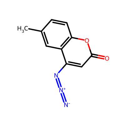 Cc1ccc2oc(=O)cc(N=[N+]=[N-])c2c1